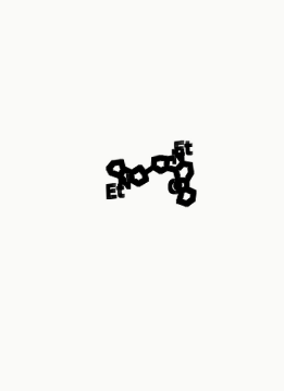 CCn1c2ccccc2c2cc(-c3ccc4c(c3)c3c5oc6ccccc6c5ccc3n4CC)ccc21